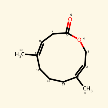 C/C1=C/COC(=O)C/C=C(/C)CCC1